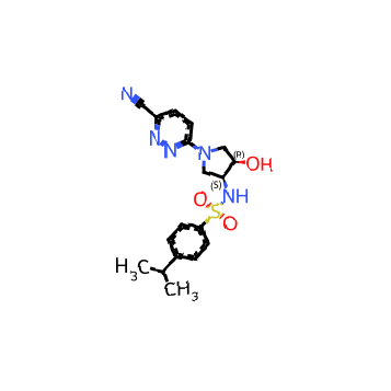 CC(C)c1ccc(S(=O)(=O)N[C@H]2CN(c3ccc(C#N)nn3)C[C@H]2O)cc1